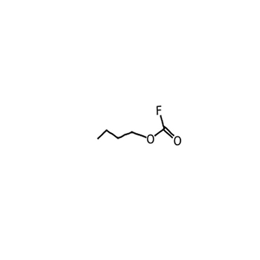 CCCCOC(=O)F